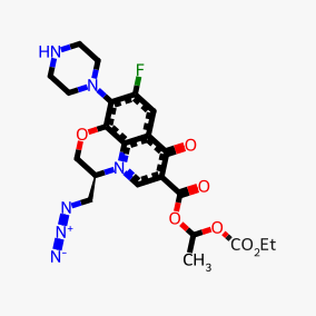 CCOC(=O)OC(C)OC(=O)c1cn2c3c(c(N4CCNCC4)c(F)cc3c1=O)OC[C@@H]2CN=[N+]=[N-]